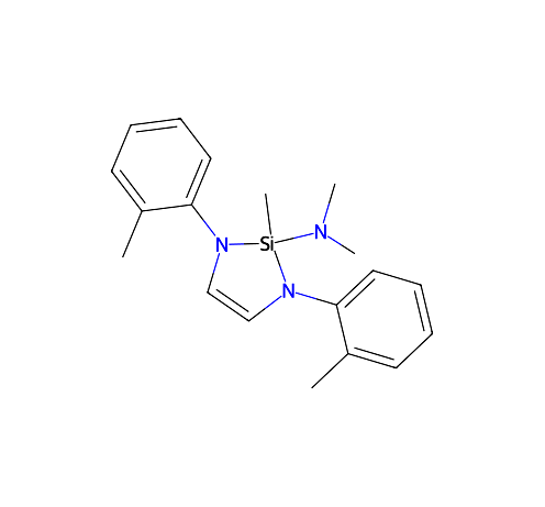 Cc1ccccc1N1C=CN(c2ccccc2C)[Si]1(C)N(C)C